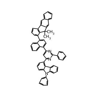 CC1(C)c2cc3ccccc3cc2-c2cccc(-c3ccc(-c4cc(-c5cccc6c5c5ccccc5n6-c5ccccc5)nc(-c5ccccc5)n4)c4ccccc34)c21